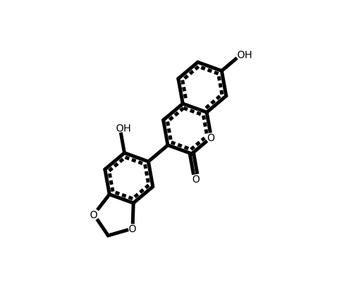 O=c1oc2cc(O)ccc2cc1-c1cc2c(cc1O)OCO2